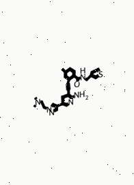 Cc1ccc(C(=O)NCc2ccsc2)c(C#Cc2cc(-c3cnn(CCN(C)C)c3)cnc2N)c1